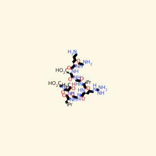 CC(C)C[C@H](NC(=O)CNC(=O)[C@H](CCCNC(=N)N)NC(=O)[C@@H](NC(=O)CNC(=O)[C@H](CC(=O)O)NC(=O)[C@H](CCCCN)NC(=O)CN)C(C)C)C(=O)N[C@H](C(=O)NCC(=O)O)[C@@H](C)O